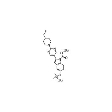 CC(C)(C)OC(=O)n1c(-c2cnc(N3CCC(CF)CC3)nc2)cc2cc(O[Si](C)(C)C(C)(C)C)ccc21